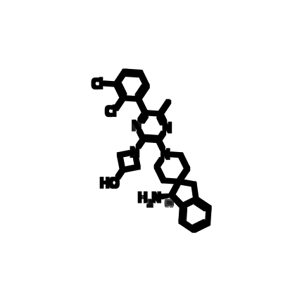 Cc1nc(N2CCC3(CC2)Cc2ccccc2[C@H]3N)c(N2CC(O)C2)nc1-c1cccc(Cl)c1Cl